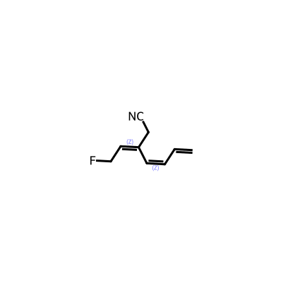 C=C/C=C\C(=C/CF)CC#N